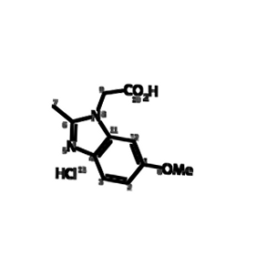 COc1ccc2nc(C)n(CC(=O)O)c2c1.Cl